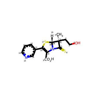 C[C@]1(CCO)C(=S)N2C(C(=O)O)=C(c3cccnc3)S[C@@H]21